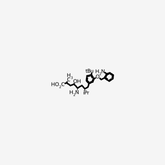 CC(C[C@H](O)[C@@H](N)C[C@H](Cc1ccc(C(C)(C)C)c(OCc2ccccc2N)c1)C(C)C)C(=O)O